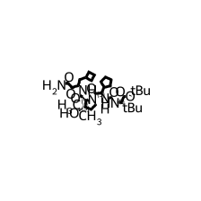 CC(C)(C)OC(=O)[C@@H](NC(=O)N[C@H](C(=O)N1CC[C@H](C(C)(C)O)[C@H]1C(=O)NC(CC1CCC1)C(=O)C(N)=O)C1CCCC1)C(C)(C)C